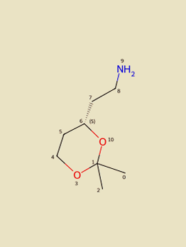 CC1(C)OCC[C@H](CCN)O1